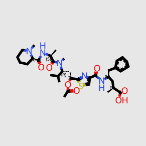 CC(=O)O[C@H](C[C@H](C(C)C)N(C)C(=O)[C@H](C)NC(=O)[C@H]1CCCCN1C)c1nc(C(=O)N[C@@H](Cc2ccccc2)C[C@H](C)C(=O)O)cs1